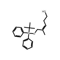 C/C(=C/CCO)CO[Si](c1ccccc1)(c1ccccc1)C(C)(C)C